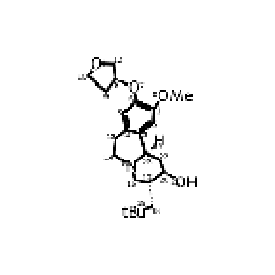 COc1cc2c(cc1O[C@H]1CCOC1)CCN1C[C@@H](CC(C)(C)C)[C@H](O)C[C@H]21